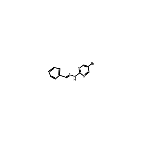 Brc1cnc(N/N=C/c2ccccc2)nc1